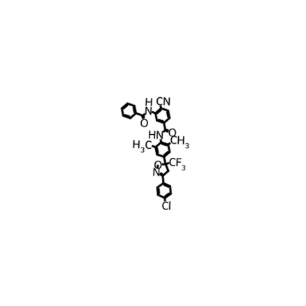 Cc1cc(C2(C(F)(F)F)CC(c3ccc(Cl)cc3)=NO2)cc(C)c1NC(=O)c1ccc(C#N)c(NC(=O)c2ccccc2)c1